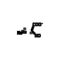 CC[C@H](C)[C@H](N=O)C(=O)[O-].[Na+]